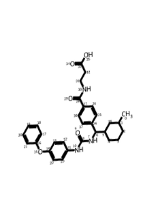 CC1CCCC(C(NC(=O)Nc2ccc(Oc3ccccc3)cc2)c2ccc(C(=O)NCCC(=O)O)cc2)C1